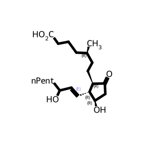 CCCCCC(O)/C=C/[C@H]1[C@H](O)CC(=O)[C@@H]1CC[C@H](C)CCCC(=O)O